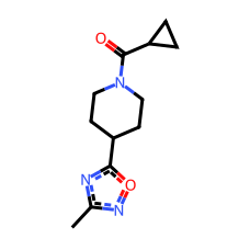 Cc1noc(C2CCN(C(=O)C3CC3)CC2)n1